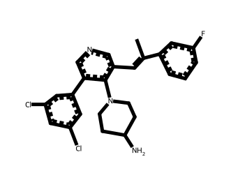 CC(=Cc1cncc(-c2cc(Cl)cc(Cl)c2)c1N1CCC(N)CC1)c1cccc(F)c1